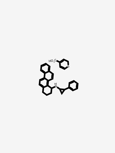 O=C(O)C1=CCSC=C1.c1ccc(C2CC2NC2CCCc3ccc4c(ccc5ccccc54)c32)cc1